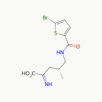 C[C@@H](CNC(=O)c1ccc(Br)s1)CC(=N)C(=O)O